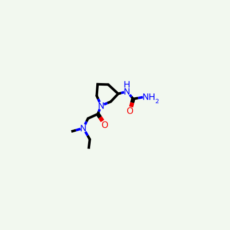 CCN(C)CC(=O)N1CCCC(NC(N)=O)C1